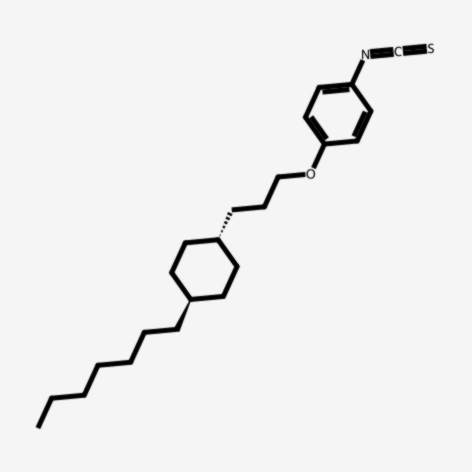 CCCCCCC[C@H]1CC[C@H](CCCOc2ccc(N=C=S)cc2)CC1